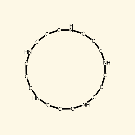 C1CNCCCNCCCNCCCNCCCNC1